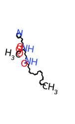 CC/C=C\C/C=C\C/C=C\C/C=C\C/C=C\CCCC(=O)NCCCCC(NC(=O)C/C=C/c1cccnc1)C(=O)OC